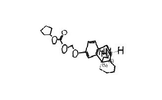 O=C(OCOc1ccc2c(c1)[C@]13CCCC[C@@H]1[C@H](C2)NCC3)OC1CCCC1